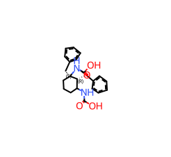 O=C(O)NC1CCC[C@@](Cc2ccccc2)(NC(=O)O)[C@@H]1Cc1ccccc1